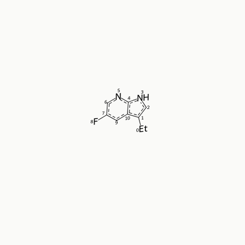 CCc1c[nH]c2ncc(F)cc12